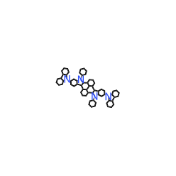 c1ccc(-n2c3cc(-n4c5ccccc5c5ccccc54)ccc3c3c4cccc5c4c4c(cccc4c32)c2c3ccc(-n4c6ccccc6c6ccccc64)cc3n(-c3ccccc3)c52)cc1